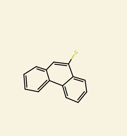 [S]c1cc2ccccc2c2ccccc12